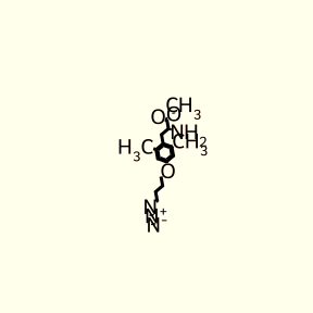 COC(=O)[C@@H](N)Cc1c(C)cc(OCCCCN=[N+]=[N-])cc1C